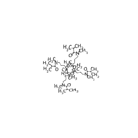 C=C(C)C(=O)N(C)CCC[Si]1(C)O[Si](C)(CCCN(C)C(=O)C(=C)C)O[Si](C)(CCCN(C)C(=O)C(=C)C)O[Si](C)(CCCN(C)C(=O)C(=C)C)O1